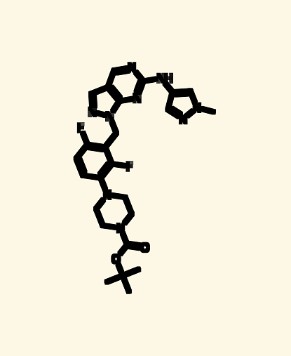 Cn1cc(Nc2ncc3cnn(Cc4c(F)ccc(N5CCN(C(=O)OC(C)(C)C)CC5)c4F)c3n2)cn1